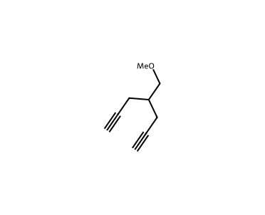 C#CCC(CC#C)COC